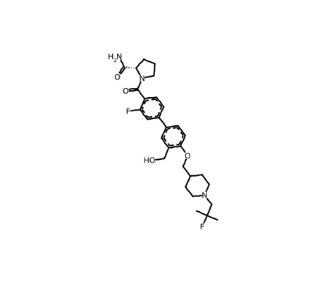 CC(C)(F)CN1CCC(COc2ccc(-c3ccc(C(=O)N4CCC[C@H]4C(N)=O)c(F)c3)cc2CO)CC1